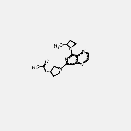 C[C@H]1CCN1c1nc(N2CC[C@H](CC(=O)O)C2)cc2nccnc12